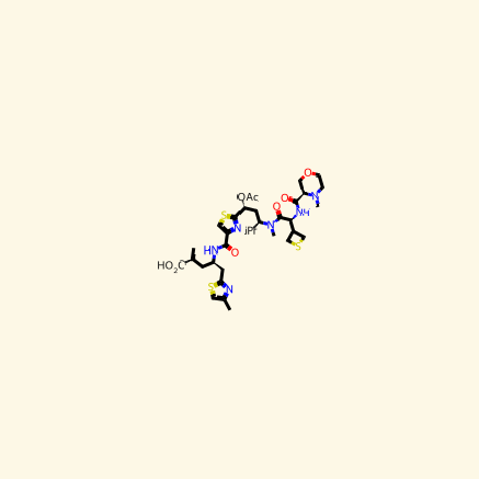 CC(=O)O[C@H](C[C@H](C(C)C)N(C)C(=O)[C@@H](NC(=O)[C@H]1COCCN1C)C1CSC1)c1nc(C(=O)N[C@@H](Cc2nc(C)cs2)C[C@H](C)C(=O)O)cs1